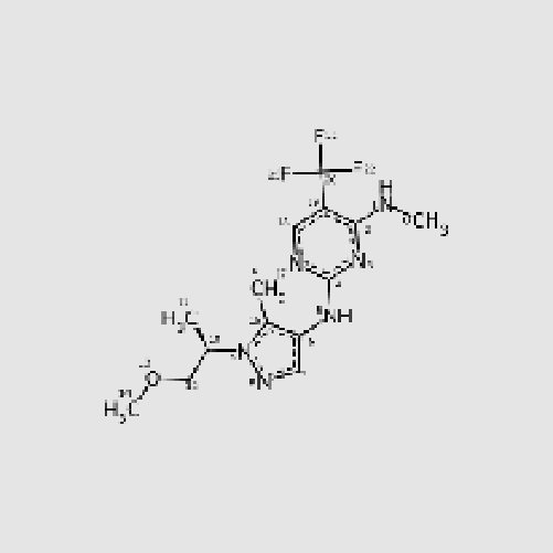 CNc1nc(Nc2cnn([C@H](C)COC)c2C)ncc1C(F)(F)F